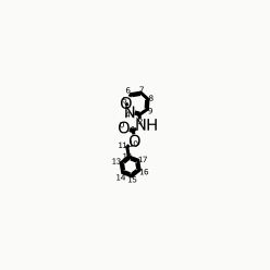 O=C(NC1=NOC=CC=C1)OCc1ccccc1